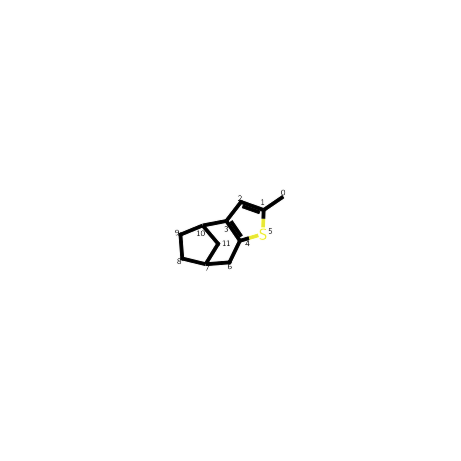 Cc1cc2c(s1)CC1CCC2C1